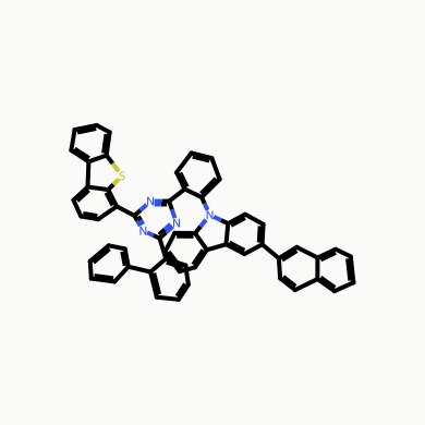 c1ccc(-c2ccccc2-c2nc(-c3ccccc3-n3c4ccccc4c4cc(-c5ccc6ccccc6c5)ccc43)nc(-c3cccc4c3sc3ccccc34)n2)cc1